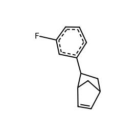 Fc1cccc(C2CC3C=CC2C3)c1